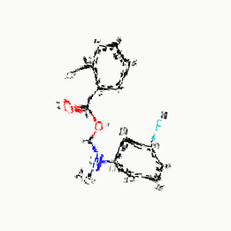 CC(=O)N(COC(=O)c1ccccc1C)c1cccc(F)c1